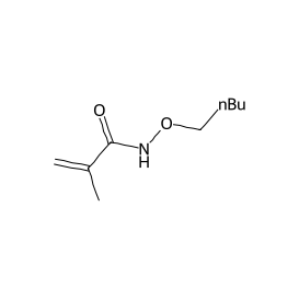 C=C(C)C(=O)NOCCCCC